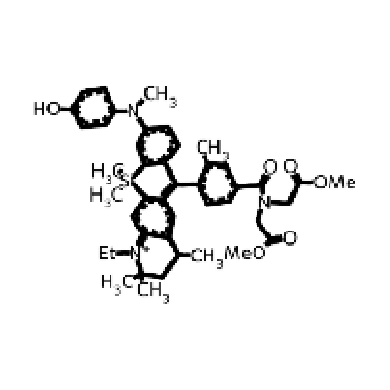 CC[N+]1=c2cc3c(cc2C(C)CC1(C)C)=C(c1ccc(C(=O)N(CC(=O)OC)CC(=O)OC)cc1C)c1ccc(N(C)c2ccc(O)cc2)cc1[Si]3(C)C